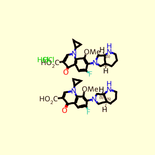 COc1c(N2C[C@@H]3CCCN[C@@H]3C2)c(F)cc2c(=O)c(C(=O)O)cn(C3CC3)c12.COc1c(N2C[C@@H]3CCCN[C@@H]3C2)c(F)cc2c(=O)c(C(=O)O)cn(C3CC3)c12.Cl.Cl